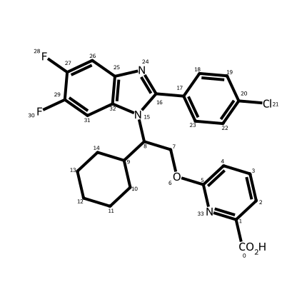 O=C(O)c1cccc(OCC(C2CCCCC2)n2c(-c3ccc(Cl)cc3)nc3cc(F)c(F)cc32)n1